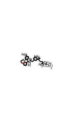 CC(C)(C)OC(=O)CCc1c[nH]c2ccc(CC(=O)NC(c3ccccc3)c3ccc(O)cc3N3CCCCC3)cc12